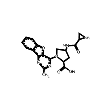 Cc1nc(N2CC(NC(=O)C3CN3)CC2C(=O)O)c2oc3ccccc3c2n1